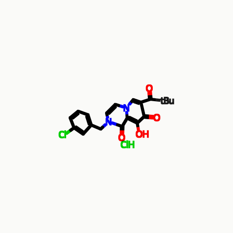 CC(C)(C)C(=O)c1cn2ccn(Cc3cccc(Cl)c3)c(=O)c2c(O)c1=O.Cl